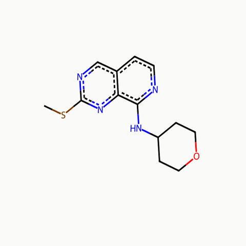 CSc1ncc2ccnc(NC3CCOCC3)c2n1